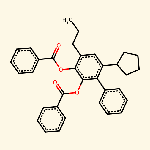 CCCc1cc(C2CCCC2)c(-c2ccccc2)c(OC(=O)c2ccccc2)c1OC(=O)c1ccccc1